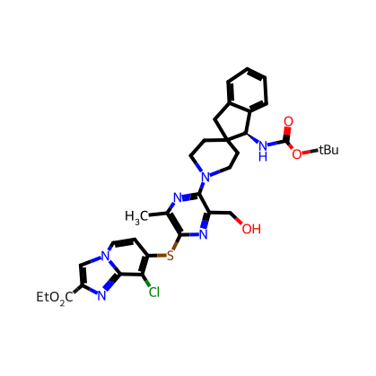 CCOC(=O)c1cn2ccc(Sc3nc(CO)c(N4CCC5(CC4)Cc4ccccc4[C@H]5NC(=O)OC(C)(C)C)nc3C)c(Cl)c2n1